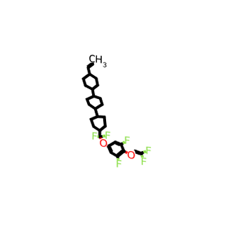 C/C=C/C1CCC(C2CCC(C3CCC(C(F)(F)Oc4cc(F)c(OC=C(F)F)c(F)c4)CC3)CC2)CC1